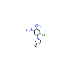 Nc1cc(Cl)c(N2CCC3(CC3)C2)cc1N